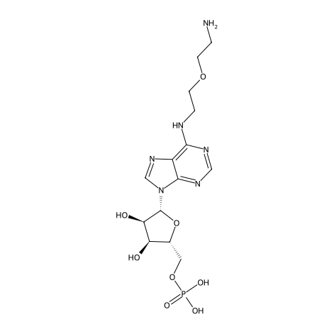 NCCOCCNc1ncnc2c1ncn2[C@@H]1O[C@H](COP(=O)(O)O)[C@@H](O)[C@H]1O